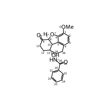 COc1ccc2c3c1O[C@@H]1C(=O)CC[C@@](O)(C31)[C@@H](NC(=O)c1ccccc1)C2